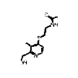 CC(=O)NCCSc1ccnc(CO)c1C